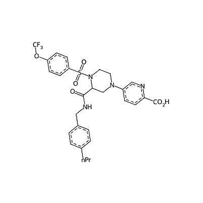 CCCc1ccc(CNC(=O)C2CN(c3ccc(C(=O)O)nc3)CCN2S(=O)(=O)c2ccc(OC(F)(F)F)cc2)cc1